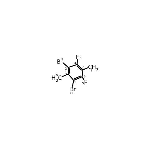 [CH2]c1c(Br)c(F)c(C)c(F)c1Br